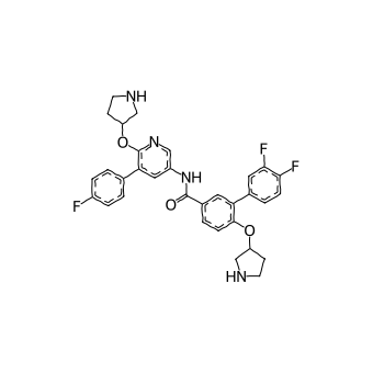 O=C(Nc1cnc(OC2CCNC2)c(-c2ccc(F)cc2)c1)c1ccc(OC2CCNC2)c(-c2ccc(F)c(F)c2)c1